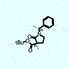 C[C@H](c1ccccc1)N1CC[C@@](C)(C(=O)OC(C)(C)C)C1=O